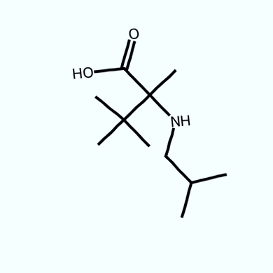 CC(C)CNC(C)(C(=O)O)C(C)(C)C